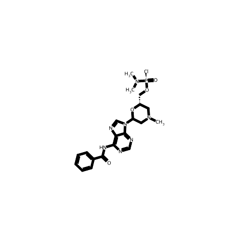 CN1CC(n2cnc3c(NC(=O)c4ccccc4)ncnc32)O[C@H](CO[P@@](=O)(Cl)N(C)C)C1